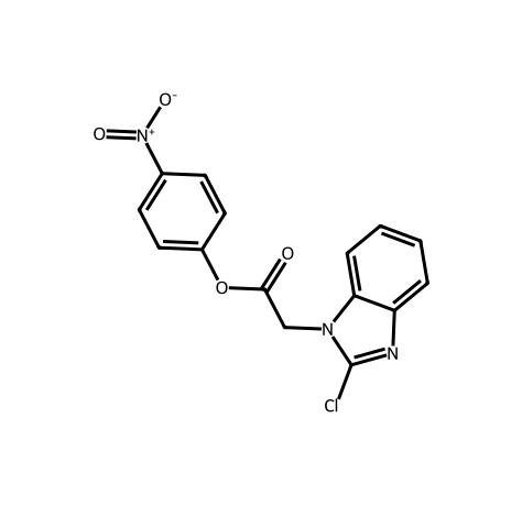 O=C(Cn1c(Cl)nc2ccccc21)Oc1ccc([N+](=O)[O-])cc1